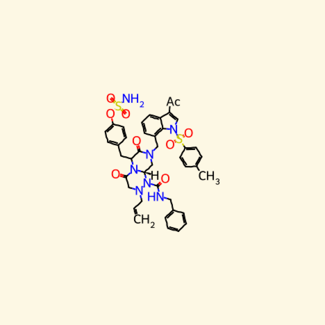 C=CCN1CC(=O)N2C(Cc3ccc(OS(N)(=O)=O)cc3)C(=O)N(Cc3cccc4c(C(C)=O)cn(S(=O)(=O)c5ccc(C)cc5)c34)C[C@@H]2N1C(=O)NCc1ccccc1